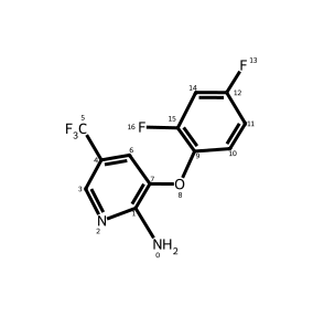 Nc1ncc(C(F)(F)F)cc1Oc1ccc(F)cc1F